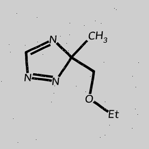 CCOCC1(C)N=CN=N1